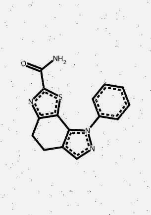 NC(=O)c1nc2c(s1)-c1c(cnn1-c1ccccc1)CC2